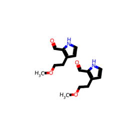 COCCc1cc[nH]c1C=O.COCCc1cc[nH]c1C=O